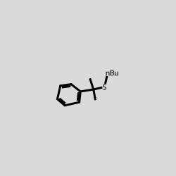 CCCCSC(C)(C)c1ccccc1